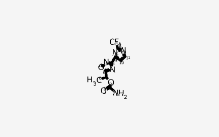 CC(OC(N)=O)c1nc(-c2ccnc(C(F)(F)F)n2)no1